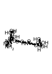 Nc1ncnc2c1ncn2C1OC(COP(=O)(O)O)[C@@H](O)[C@H]1OCOCCOCCNC(=O)CCCCOC1NC(O)C(O)C(CO)O1